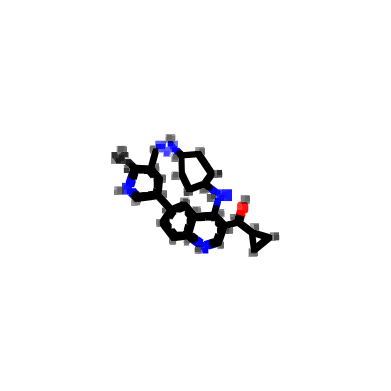 Cc1cc(-c2ccc3ncc(C(=O)C4CC4)c(NC4CCC(N)CC4)c3c2)cnc1C#N